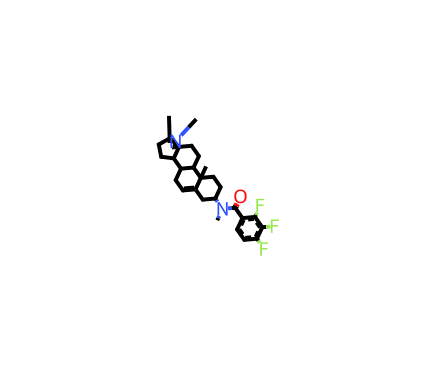 CC1C2CCC3C4CC=C5CC(N(C)C(=O)c6ccc(F)c(F)c6F)CCC5(C)C4CCC32CN1C